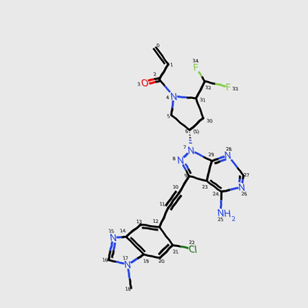 C=CC(=O)N1C[C@@H](n2nc(C#Cc3cc4ncn(C)c4cc3Cl)c3c(N)ncnc32)CC1C(F)F